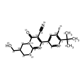 CC(C)(C)c1ncc(-c2nc3n(c(=O)c2C#N)CC(CO)CS3)cc1F